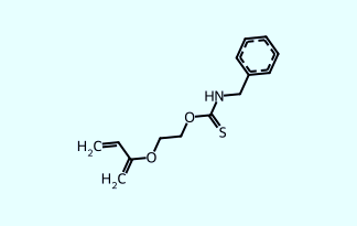 C=CC(=C)OCCOC(=S)NCc1ccccc1